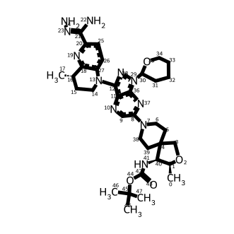 C[C@@H]1OCC2(CCN(c3cnc4c(N5CC[C@H](C)c6nc(/C(N)=N/N)ccc65)nn(C5CCCCO5)c4n3)CC2)[C@@H]1NC(=O)OC(C)(C)C